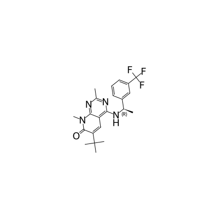 Cc1nc(N[C@H](C)c2cccc(C(F)(F)F)c2)c2cc(C(C)(C)C)c(=O)n(C)c2n1